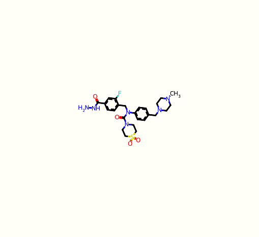 CN1CCN(Cc2ccc(N(Cc3ccc(C(=O)NN)cc3F)C(=O)N3CCS(=O)(=O)CC3)cc2)CC1